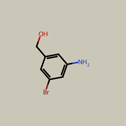 Nc1cc(Br)cc(CO)c1